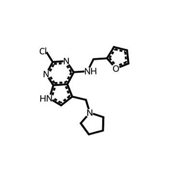 Clc1nc(NCc2ccco2)c2c(CN3CCCC3)c[nH]c2n1